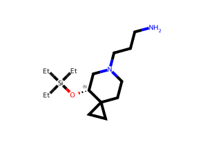 CC[Si](CC)(CC)O[C@@H]1CN(CCCN)CCC12CC2